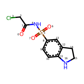 O=C(CCl)NS(=O)(=O)c1ccc2c(c1)CCN2